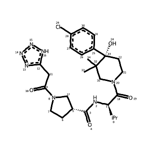 CC(C)[C@@H](NC(=O)[C@@H]1CCN(C(=O)Cc2nnn[nH]2)C1)C(=O)N1CC[C@](O)(c2ccc(Cl)cc2)C(C)(C)C1